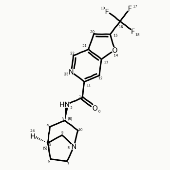 O=C(N[C@@H]1C[C@@H]2CCN(C2)C1)c1cc2oc(C(F)(F)F)cc2cn1